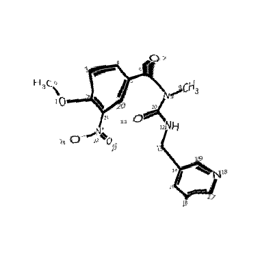 COc1ccc(C(=O)N(C)C(=O)NCc2cccnc2)cc1[N+](=O)[O-]